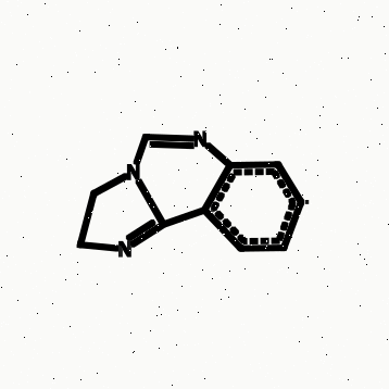 [c]1ccc2c(c1)N=CN1CCN=C21